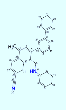 C=C(/C=C(\CCNC1C=CCCC1)c1cccc(C2=CCCC=C2)c1)C1=CC=C(C#N)CC1